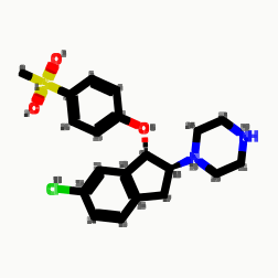 CS(=O)(=O)c1ccc(O[C@H]2c3cc(Cl)ccc3C[C@@H]2N2CCNCC2)cc1